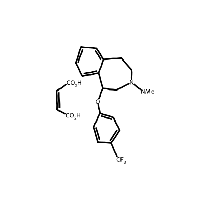 CNN1CCc2ccccc2C(Oc2ccc(C(F)(F)F)cc2)C1.O=C(O)/C=C\C(=O)O